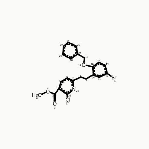 COC(=O)c1ccc(CCc2cc(Br)ccc2OCc2ccccc2)nc1Cl